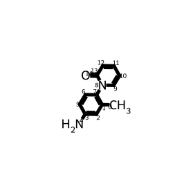 Cc1cc(N)ccc1-n1ccccc1=O